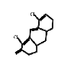 C=C1CCC2CC3CCC=C(Cl)C3=CC2=C1Cl